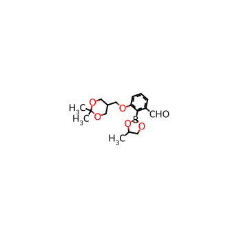 CC1COB(c2c(C=O)cccc2OCC2COC(C)(C)OC2)O1